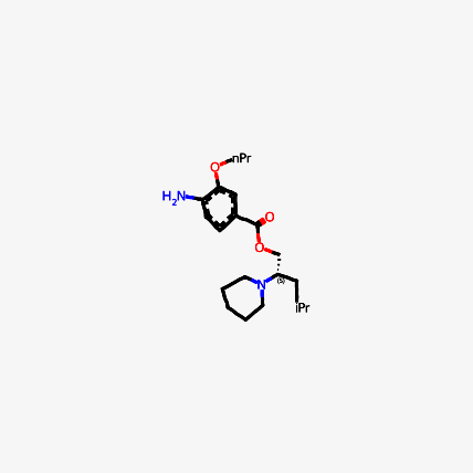 CCCOc1cc(C(=O)OC[C@H](CC(C)C)N2CCCCC2)ccc1N